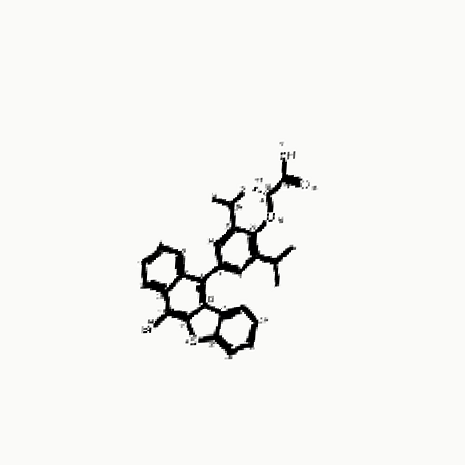 CC(C)c1cc(-c2c3ccccc3c(Br)c3sc4ccccc4c23)cc(C(C)C)c1O[C@H](C)C(=O)O